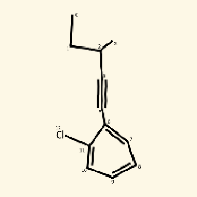 CCC(C)C#Cc1ccccc1Cl